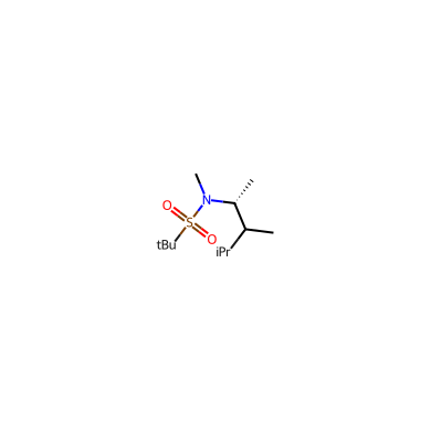 CC(C)C(C)[C@@H](C)N(C)S(=O)(=O)C(C)(C)C